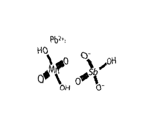 [O]=[Mn](=[O])([OH])[OH].[O]=[Sb]([O-])([O-])[OH].[Pb+2]